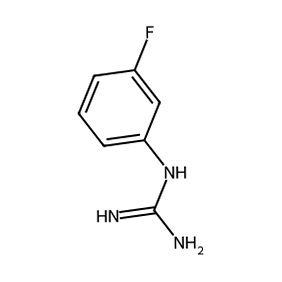 N=C(N)Nc1cccc(F)c1